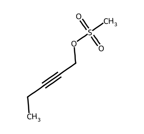 CCC#CCOS(C)(=O)=O